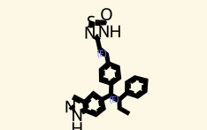 CC/C(=C(/c1ccc(/C=C/c2nsc(=O)[nH]2)cc1)c1ccc2[nH]ncc2c1)c1ccccc1